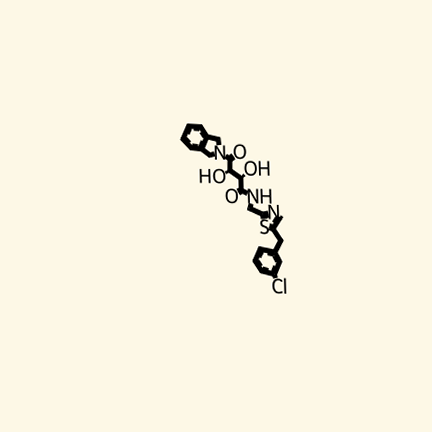 O=C(NCc1ncc(Cc2cccc(Cl)c2)s1)[C@H](O)[C@@H](O)C(=O)N1Cc2ccccc2C1